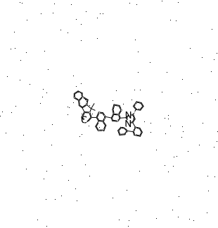 CC1(C)c2cc3ccccc3cc2-c2cccc(-c3ccc(-c4ccc(-c5nc(-c6ccccc6)cc(-c6ccccc6-c6ccccc6)n5)c5ccccc45)c4ccccc34)c21